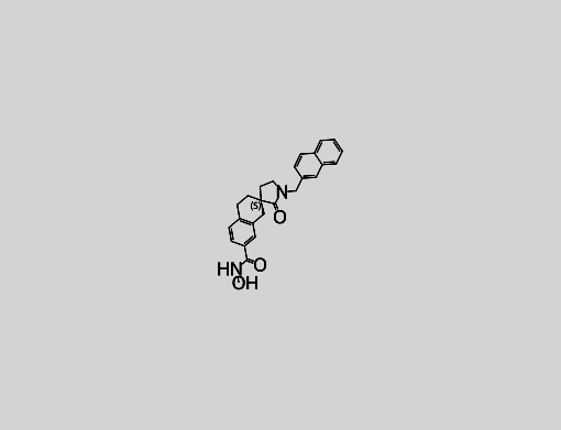 O=C(NO)c1ccc2c(c1)C[C@@]1(CC2)CCN(Cc2ccc3ccccc3c2)C1=O